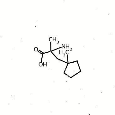 CC1(CC(C)(N)C(=O)O)CCCC1